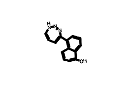 Oc1cccc2c(C3=CC=CNN=N3)cccc12